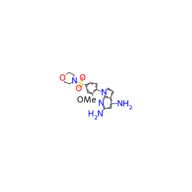 COc1cc(S(=O)(=O)N2CCOCC2)ccc1-n1ccc2c(N)cc(N)nc21